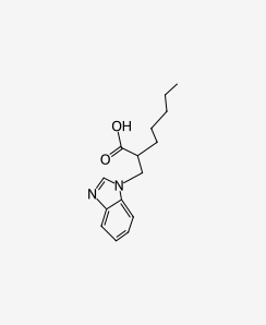 CCCCCC(Cn1cnc2ccccc21)C(=O)O